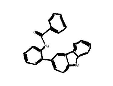 O=C(Nc1ccccc1-c1ccc2[nH]c3ccccc3c2c1)c1ccccc1